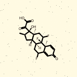 CC1C[C@H]2[C@@H]3CC(F)C4=CC(=O)C=C[C@]4(C)[C@@]3(F)C(F)C[C@]2(C)[C@@]1(O)C(=O)C(=O)O